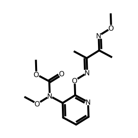 CO/N=C(C)/C(C)=N/Oc1ncccc1N(OC)C(=O)OC